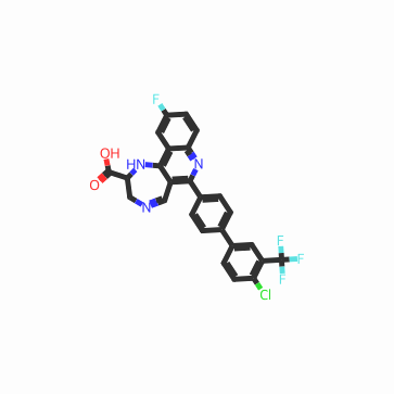 O=C(O)C1CN=Cc2c(-c3ccc(-c4ccc(Cl)c(C(F)(F)F)c4)cc3)nc3ccc(F)cc3c2N1